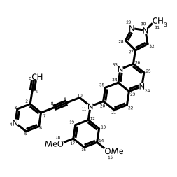 C#Cc1cnccc1C#CCN(c1cc(OC)cc(OC)c1)c1ccc2ncc(-c3cnn(C)c3)nc2c1